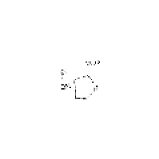 CCO.O=CC1CCCO1